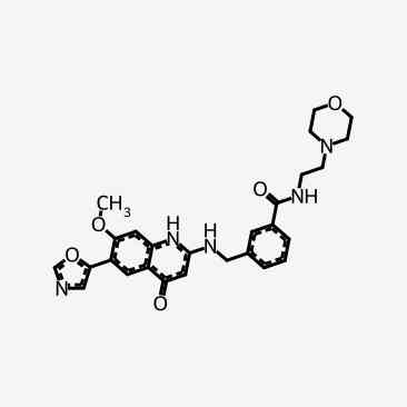 COc1cc2[nH]c(NCc3cccc(C(=O)NCCN4CCOCC4)c3)cc(=O)c2cc1-c1cnco1